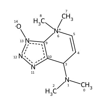 CN(C)C1C=C[N+](C)(C)c2c1nnn2[O]